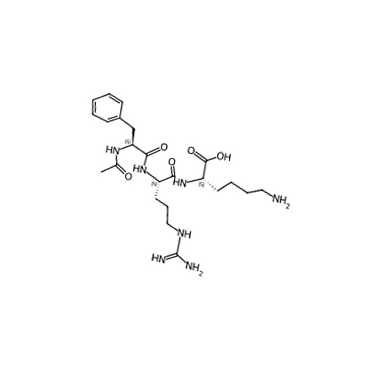 CC(=O)N[C@@H](Cc1ccccc1)C(=O)N[C@@H](CCCNC(=N)N)C(=O)N[C@@H](CCCCN)C(=O)O